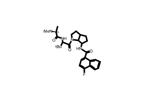 CN[C@@H](C)C(=O)NC(C(=O)N1CCC2CCC(NC(=O)c3ccc(F)c4ccccc34)C21)C(C)(C)C